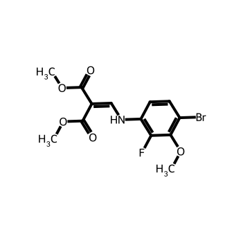 COC(=O)C(=CNc1ccc(Br)c(OC)c1F)C(=O)OC